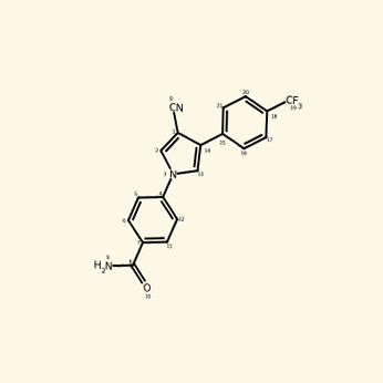 N#Cc1cn(-c2ccc(C(N)=O)cc2)cc1-c1ccc(C(F)(F)F)cc1